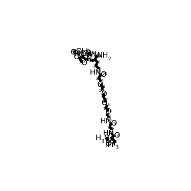 CC(C)CC(C(=O)NCCC(=O)NCCOCCOCCOCCOCCC(=O)NCCCC1CN([C@@H]2OCC(O[PH](=O)O)[C@@H]2O)C(=O)N=C1N)N(C)C